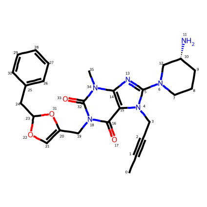 CC#CCn1c(N2CCC[C@@H](N)C2)nc2c1c(=O)n(CC1=COC(Cc3ccccc3)O1)c(=O)n2C